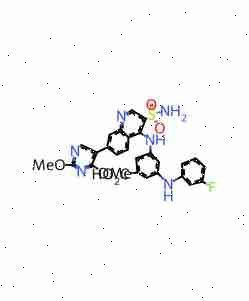 COc1ncc(-c2ccc3c(Nc4cc(Nc5cccc(F)c5)cc(C(=O)O)c4)c(S(N)(=O)=O)cnc3c2)c(OC)n1